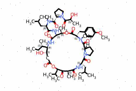 CC[C@H](C)[C@H]1NC(=O)[C@@H](NC(=O)[C@@H](CC(C)C)N(C)C(=O)[C@@H]2CCCN2C(=O)[C@H](C)O)[C@@H](C)OC(=O)[C@H](Cc2ccc(OC)cc2)N(C)C(=O)[C@@H]2CCCN2C(=O)[C@H](CC(C)C)NC(=O)[C@@H](C)C(=O)C(C(C)C)OC(=O)C[C@@H]1O